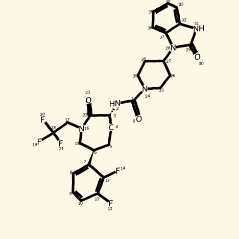 O=C(N[C@@H]1CC[C@@H](c2cccc(F)c2F)CN(CC(F)(F)F)C1=O)N1CCC(n2c(=O)[nH]c3ccccc32)CC1